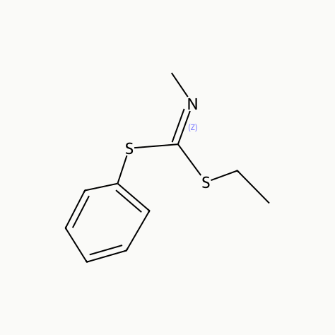 CCS/C(=N/C)Sc1ccccc1